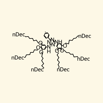 CCCCCCCCCCCCCCCCCOc1cc(Nc2nc(Nc3cc(OCCCCCCCCCCCCCCCCC)c(OCCCCCCCCCCCCCCCCC)c(OCCCCCCCCCCCCCCCCC)c3)nc(-c3cc[c]cc3)n2)cc(OCCCCCCCCCCCCCCCCC)c1OCCCCCCCCCCCCCCCCC